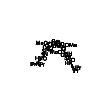 COc1cc(C(=O)Nc2nc(C(=O)NCCN(C(C)C)C(C)C)cs2)c(OC)cc1OC(=O)/C=C\C(=O)Oc1cc(OC)c(C(=O)Nc2nc(C(=O)NCCN(C(C)C)C(C)C)cs2)cc1OC